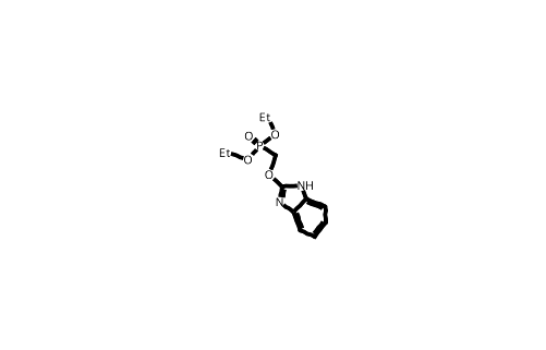 CCOP(=O)(COc1nc2ccccc2[nH]1)OCC